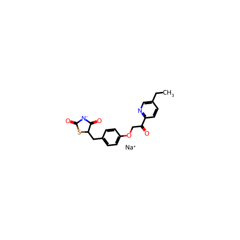 CCc1ccc(C(=O)COc2ccc(CC3SC(=O)[N-]C3=O)cc2)nc1.[Na+]